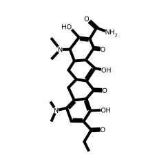 CCC(=O)c1cc(N(C)C)c2c(c1O)C(=O)C1=C(O)C3C(=O)C(C(N)=O)=C(O)C(N(C)C)C3CC1C2